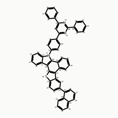 c1ccc(-c2cc(-c3ccc(-n4c5ccccc5c5c6sc7ccc(-c8cccc9ccccc89)cc7c6c6ccccc6c54)cc3)nc(-c3ccccc3)n2)cc1